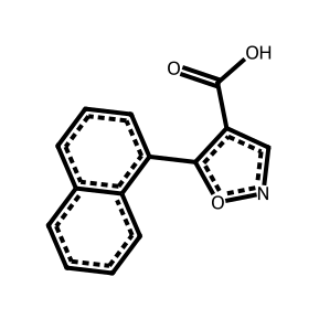 O=C(O)c1cnoc1-c1cccc2ccccc12